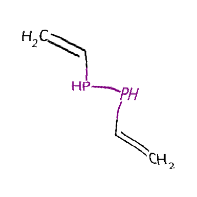 C=CPPC=C